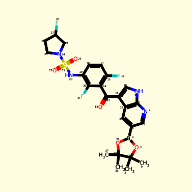 CC1(C)OB(c2cnc3[nH]cc(C(=O)c4c(F)ccc(NS(=O)(=O)N5CCC(F)C5)c4F)c3c2)OC1(C)C